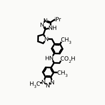 Cc1ccc(NC(CC(=O)O)c2ccc3c(nnn3C)c2C)cc1CN1CCCC1c1nnc(C(C)C)[nH]1